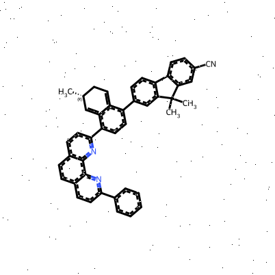 C[C@H]1C=c2c(-c3ccc4ccc5ccc(-c6ccccc6)nc5c4n3)ccc(-c3ccc4c(c3)C(C)(C)c3cc(C#N)ccc3-4)c2=CC1